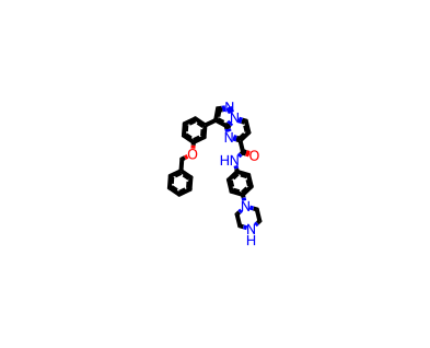 O=C(Nc1ccc(N2CCNCC2)cc1)c1ccn2ncc(-c3cccc(OCc4ccccc4)c3)c2n1